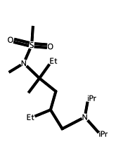 CCC(CN(C(C)C)C(C)C)CC(C)(CC)N(C)S(C)(=O)=O